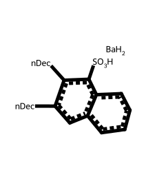 CCCCCCCCCCc1cc2ccccc2c(S(=O)(=O)O)c1CCCCCCCCCC.[BaH2]